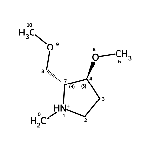 [CH2-][NH+]1CC[C@H](OC)[C@H]1COC